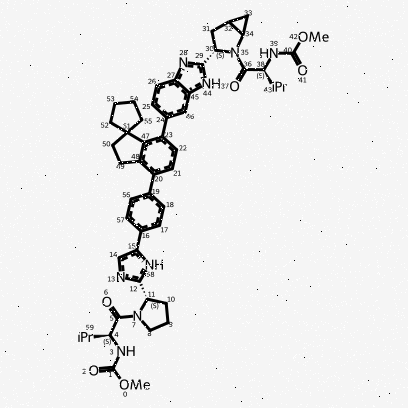 COC(=O)N[C@H](C(=O)N1CCC[C@H]1c1ncc(-c2ccc(-c3ccc(-c4ccc5nc([C@@H]6CC7CC7N6C(=O)[C@@H](NC(=O)OC)C(C)C)[nH]c5c4)c4c3CCC43CCCC3)cc2)[nH]1)C(C)C